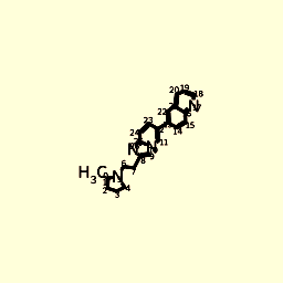 C[C@@H]1CCCN1CCc1cn2cc(-c3ccc4ncccc4c3)ccc2n1